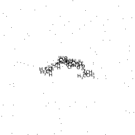 CC(C)(C)CCCOC1CCN(c2ccc(C(=O)NS(=O)(=O)c3cccc(NCCC[C@@H]4CNC(C)(C)C4)n3)c(Cl)n2)C1=O